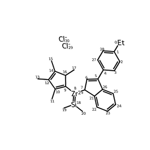 CCc1ccc(C2=C[CH]([Zr+2]([C]3=C(C)C(C)=C(C)C3C)=[Si](C)C)c3ccccc32)cc1.[Cl-].[Cl-]